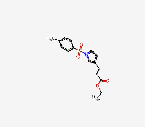 CCOC(=O)CCc1ccn(S(=O)(=O)c2ccc(C)cc2)c1